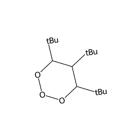 CC(C)(C)C1OOOC(C(C)(C)C)C1C(C)(C)C